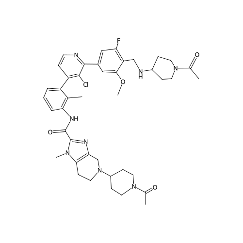 COc1cc(-c2nccc(-c3cccc(NC(=O)c4nc5c(n4C)CCN(C4CCN(C(C)=O)CC4)C5)c3C)c2Cl)cc(F)c1CNC1CCN(C(C)=O)CC1